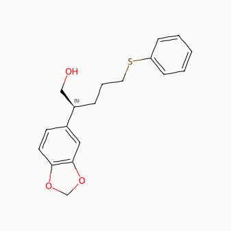 OC[C@@H](CCCSc1ccccc1)c1ccc2c(c1)OCO2